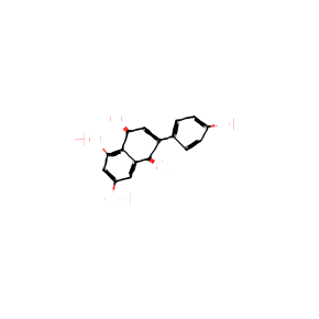 O=C1C(c2ccc(O)cc2)=CC(=O)c2c(O)cc(O)cc21